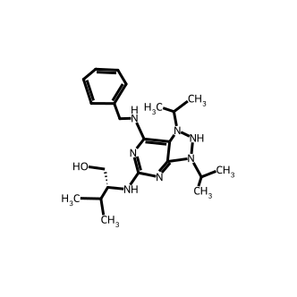 CC(C)[C@H](CO)Nc1nc(NCc2ccccc2)c2c(n1)N(C(C)C)NN2C(C)C